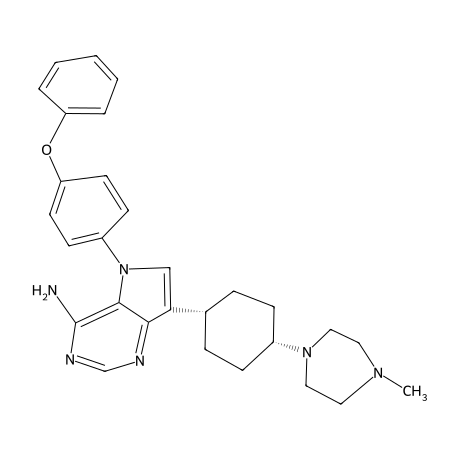 CN1CCN([C@H]2CC[C@@H](c3cn(-c4ccc(Oc5ccccc5)cc4)c4c(N)ncnc43)CC2)CC1